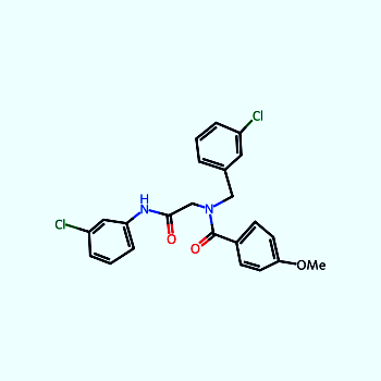 COc1ccc(C(=O)N(CC(=O)Nc2cccc(Cl)c2)Cc2cccc(Cl)c2)cc1